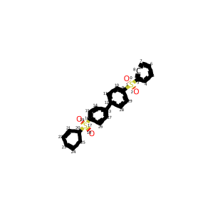 O=S(=O)(c1ccccc1)c1ccc(-c2ccc(S(=O)(=O)C3C=CC=CC3)cc2)cc1